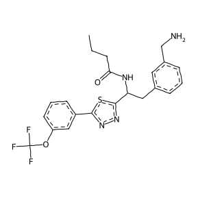 CCCC(=O)NC(Cc1cccc(CN)c1)c1nnc(-c2cccc(OC(F)(F)F)c2)s1